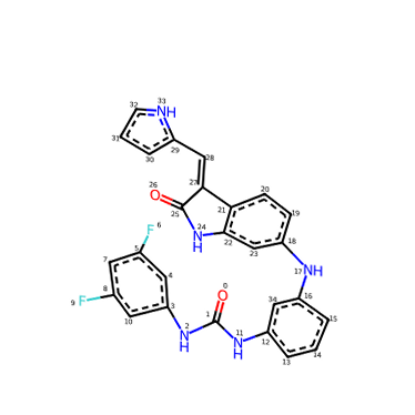 O=C(Nc1cc(F)cc(F)c1)Nc1cccc(Nc2ccc3c(c2)NC(=O)/C3=C\c2ccc[nH]2)c1